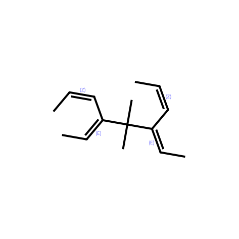 C/C=C\C(=C/C)C(C)(C)C(/C=C\C)=C/C